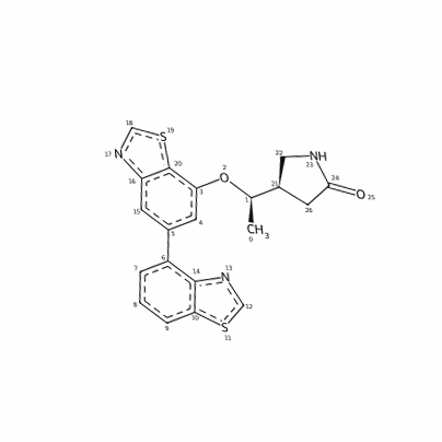 C[C@@H](Oc1cc(-c2cccc3scnc23)cc2ncsc12)[C@H]1CNC(=O)C1